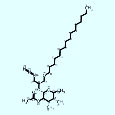 CCCCCCCCCCCCCCCCOC[C@H](CN=[N+]=[N-])O[C@@H]1OC(C)[C@H](C)[C@H](C)C1OC(C)=O